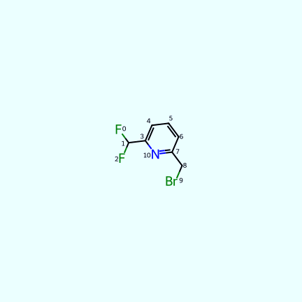 FC(F)c1cccc(CBr)n1